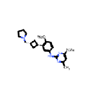 CNc1cc(C)nc(Nc2ccc(OC)c([C@H]3C[C@@H](CN4CCCC4)C3)c2)n1